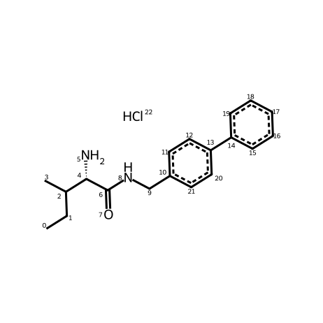 CCC(C)[C@H](N)C(=O)NCc1ccc(-c2ccccc2)cc1.Cl